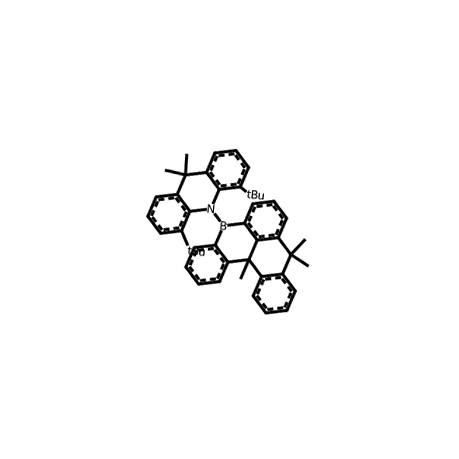 CC(C)(C)c1cccc2c1N(B1c3ccccc3C3(C)c4ccccc4C(C)(C)c4cccc1c43)c1c(C(C)(C)C)cccc1C2(C)C